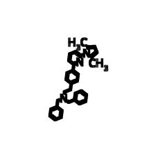 Cc1ccc(C)n1-c1cccc(-c2ccc(CCN(Cc3ccccc3)Cc3ccccc3)cc2)n1